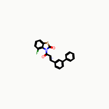 O=C(/C=C/c1cccc(-c2ccccc2)c1)n1c(=O)sc2cccc(F)c21